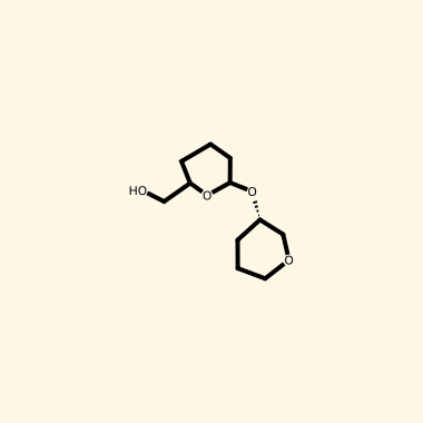 OCC1CCCC(O[C@H]2CCCOC2)O1